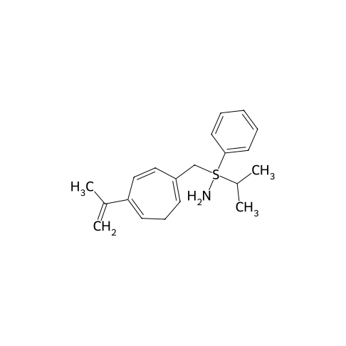 C=C(C)C1=CCC=C(CS(N)(c2ccccc2)C(C)C)C=C1